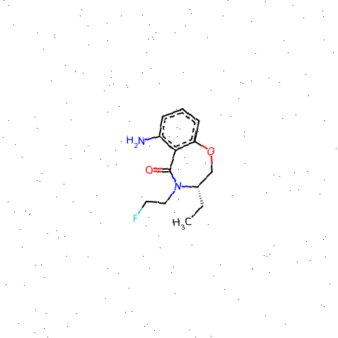 CC[C@H]1COc2cccc(N)c2C(=O)N1CCF